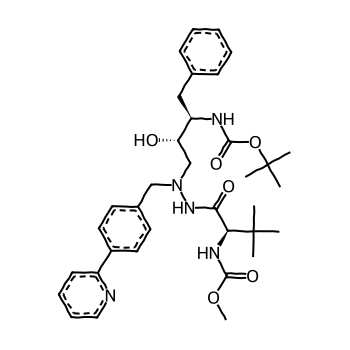 COC(=O)N[C@@H](C(=O)NN(Cc1ccc(-c2ccccn2)cc1)C[C@H](O)[C@@H](Cc1ccccc1)NC(=O)OC(C)(C)C)C(C)(C)C